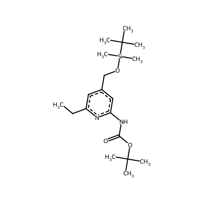 CCc1cc(CO[Si](C)(C)C(C)(C)C)cc(NC(=O)OC(C)(C)C)n1